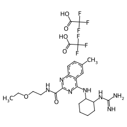 CCOCCNC(=O)c1nc(NC2CCCCC2NC(=N)N)c2cc(C)ccc2n1.O=C(O)C(F)(F)F.O=C(O)C(F)(F)F